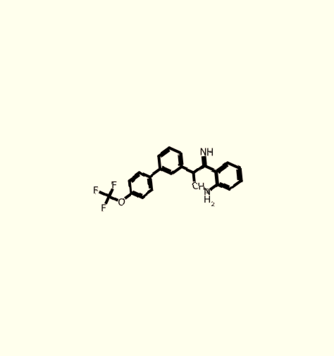 CC(C(=N)c1ccccc1N)c1cccc(-c2ccc(OC(F)(F)F)cc2)c1